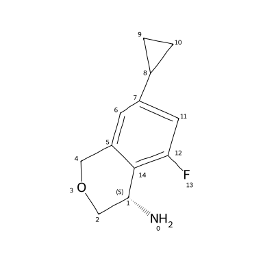 N[C@@H]1COCc2cc(C3CC3)cc(F)c21